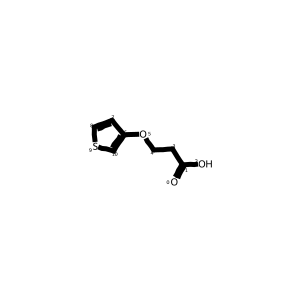 O=C(O)CCOc1ccsc1